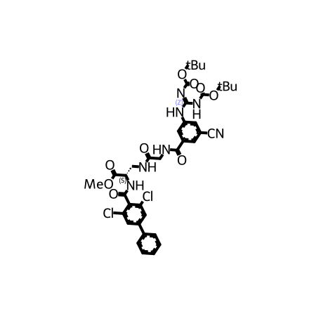 COC(=O)[C@H](CNC(=O)CNC(=O)c1cc(C#N)cc(N/C(=N/C(=O)OC(C)(C)C)NC(=O)OC(C)(C)C)c1)NC(=O)c1c(Cl)cc(-c2ccccc2)cc1Cl